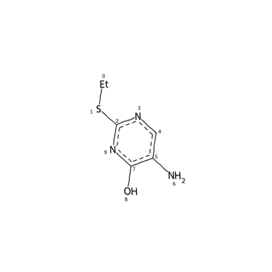 CCSc1ncc(N)c(O)n1